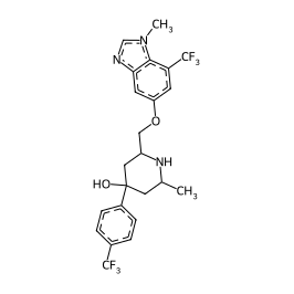 CC1CC(O)(c2ccc(C(F)(F)F)cc2)CC(COc2cc(C(F)(F)F)c3c(c2)ncn3C)N1